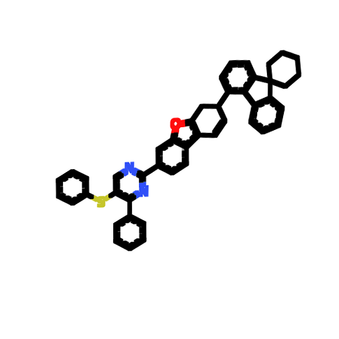 C1=CC(c2cccc3c2-c2ccccc2C32CCCCC2)Cc2oc3cc(-c4ncc(Sc5ccccc5)c(-c5ccccc5)n4)ccc3c21